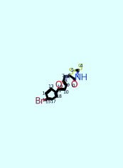 O=C1NC(=S)S/C1=C/c1ccc(-c2ccc(Br)cc2)o1